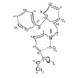 COC(=O)c1cccn(Cc2ccccc2Cc2ccccc2)c1=O